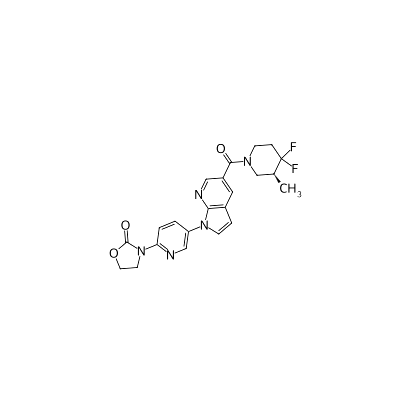 C[C@H]1CN(C(=O)c2cnc3c(ccn3-c3ccc(N4CCOC4=O)nc3)c2)CCC1(F)F